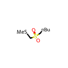 CCCCCS(=O)(=O)CSC